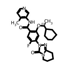 Cc1ccncc1NC(=O)c1cc(F)c(-n2nc3n(c2=O)CCCC3)cc1O[C@@H](C)C1CCCCC1